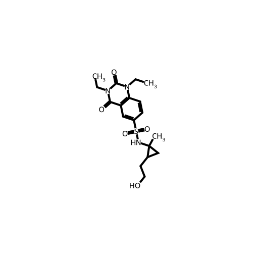 CCn1c(=O)c2cc(S(=O)(=O)NC3(C)CC3CCO)ccc2n(CC)c1=O